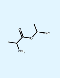 CCC[C@H](C)OC(=O)C(C)N